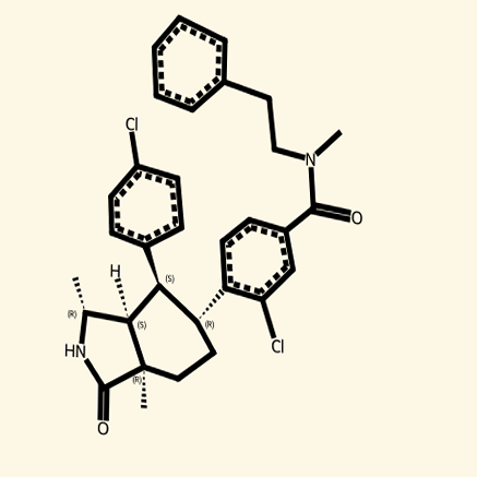 C[C@H]1NC(=O)[C@]2(C)CC[C@@H](c3ccc(C(=O)N(C)CCc4ccccc4)cc3Cl)[C@H](c3ccc(Cl)cc3)[C@H]12